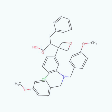 COc1ccc(CN(Cc2ccc(OC)cc2)c2cc(C3(C(Cc4ccccc4)C(=O)O)COC3)ccc2Cl)cc1